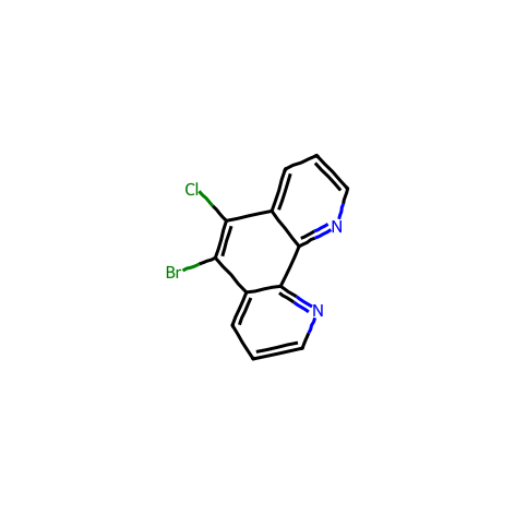 Clc1c(Br)c2cccnc2c2ncccc12